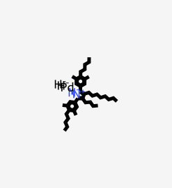 CCCCCCCCC1=C(c2cc(C)c(CCCCC)c(C)c2)[N+](=[N-])C(c2cc(C)c(CCCCC)c(C)c2)=C1CCCC.[H-].[H-].[Pd]